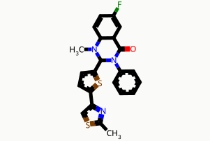 Cc1nc(-c2ccc(C3N(c4ccccc4)C(=O)C4C=C(F)C=CC4N3C)s2)cs1